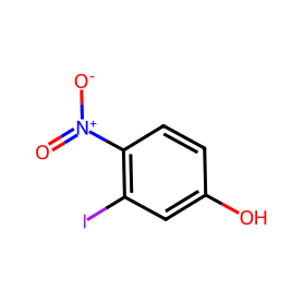 O=[N+]([O-])c1ccc(O)cc1I